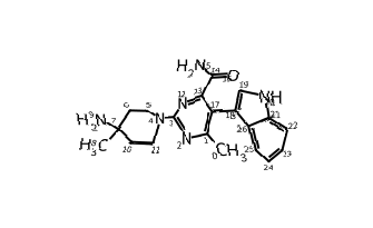 Cc1nc(N2CCC(C)(N)CC2)nc(C(N)=O)c1-c1c[nH]c2ccccc12